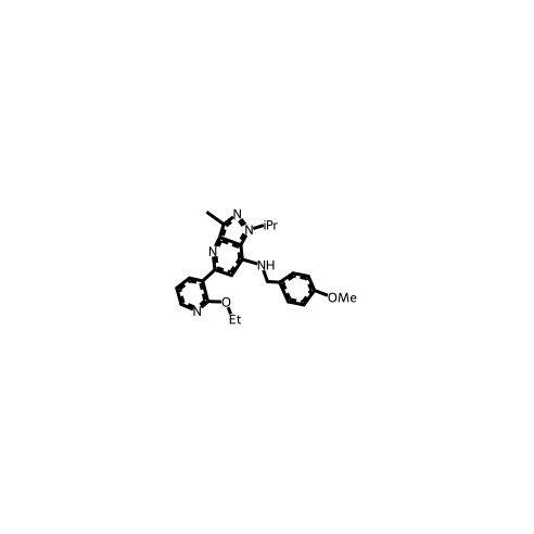 CCOc1ncccc1-c1cc(NCc2ccc(OC)cc2)c2c(n1)c(C)nn2C(C)C